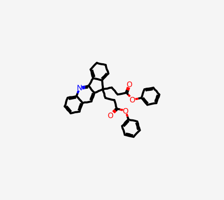 O=C(CCC1(CCC(=O)Oc2ccccc2)C2=CCCC=C2c2nc3ccccc3cc21)Oc1ccccc1